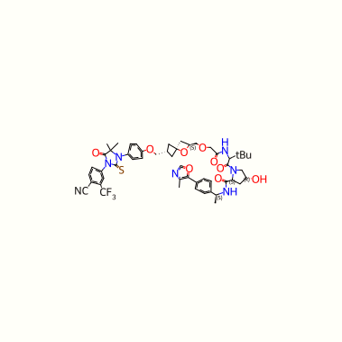 Cc1ncoc1-c1ccc([C@H](C)NC(=O)[C@@H]2C[C@@H](O)CN2C(=O)C(NC(=O)COC[C@@H]2C[C@]3(C[C@@H](COc4ccc(N5C(=S)N(c6ccc(C#N)c(C(F)(F)F)c6)C(=O)C5(C)C)cc4)C3)O2)C(C)(C)C)cc1